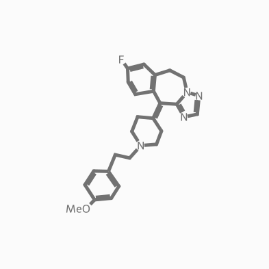 COc1ccc(CCN2CCC(=C3c4ccc(F)cc4CCn4ncnc43)CC2)cc1